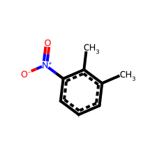 Cc1c[c]cc([N+](=O)[O-])c1C